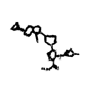 Cn1cc(Nc2nc(N3CCCC(n4ccc5cc(C6CC6)ccc5c4=O)C3)cnc2C(N)=O)cn1